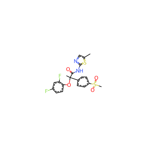 Cc1cnc(NC(=O)C(C)(Oc2ccc(F)cc2F)c2ccc(S(C)(=O)=O)cc2)s1